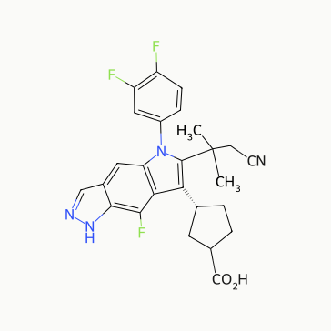 CC(C)(CC#N)c1c([C@@H]2CCC(C(=O)O)C2)c2c(F)c3[nH]ncc3cc2n1-c1ccc(F)c(F)c1